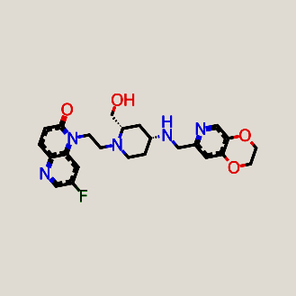 O=c1ccc2ncc(F)cc2n1CCN1CC[C@@H](NCc2cc3c(cn2)OCCO3)C[C@H]1CO